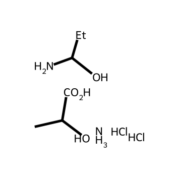 CC(O)C(=O)O.CCC(N)O.Cl.Cl.N